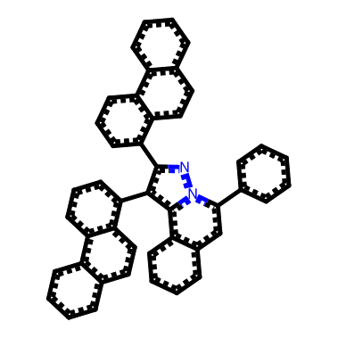 c1ccc(-c2cc3ccccc3c3c(-c4cccc5c4ccc4ccccc45)c(-c4cccc5c4ccc4ccccc45)nn23)cc1